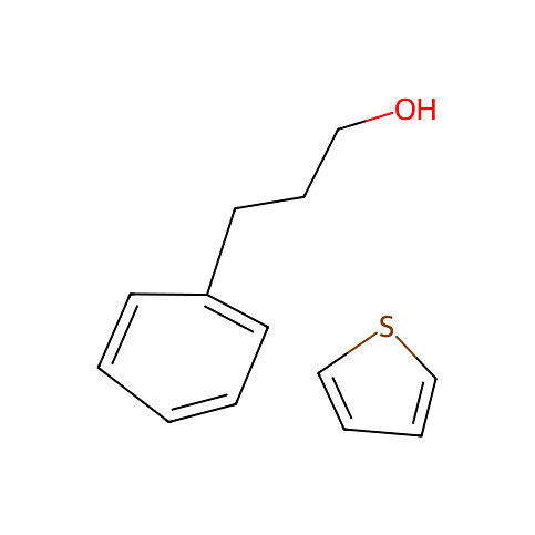 OCCCc1ccccc1.c1ccsc1